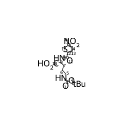 CC(C)(C)OC(=O)NCCCC(NC(=O)c1ccc([N+](=O)[O-])s1)C(=O)O